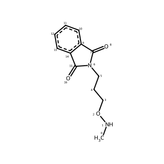 CNOCCCN1C(=O)c2ccccc2C1=O